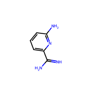 N=C(N)c1cccc(N)n1